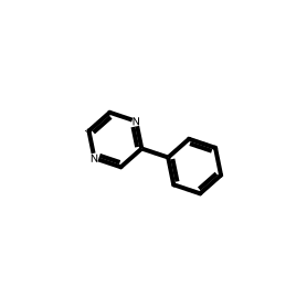 [c]1cnc(-c2ccccc2)cn1